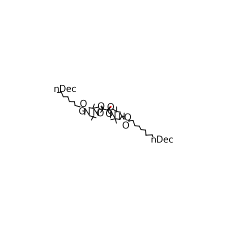 CCCCCCCCCCCCCCCCCC(=O)ON1CC(C)(C)N(OC(=O)C(=O)ON2C(C)(C)CN(OC(=O)CCCCCCCCCCCCCCCCC)CC2(C)C)C(C)(C)C1